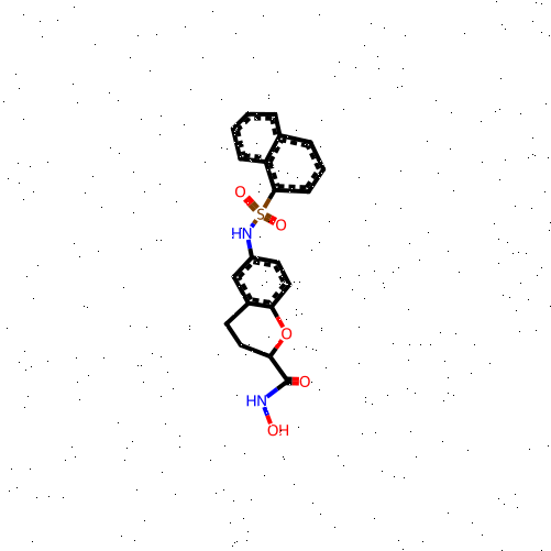 O=C(NO)C1CCc2cc(NS(=O)(=O)c3cccc4ccccc34)ccc2O1